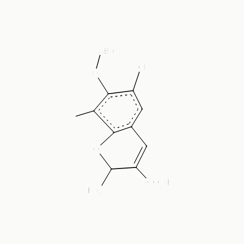 CCCCOc1c(Cl)cc2c(c1C)OC(C(F)(F)F)C(C(=O)O)=C2